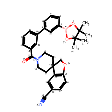 CC1(C)OB(c2cccc(-c3cccc(C(=O)N4CCC5(CC4)COc4ccc(C#N)cc45)c3)c2)OC1(C)C